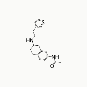 CC(=O)Nc1ccc2c(c1)CC(NCCc1ccsc1)CC2